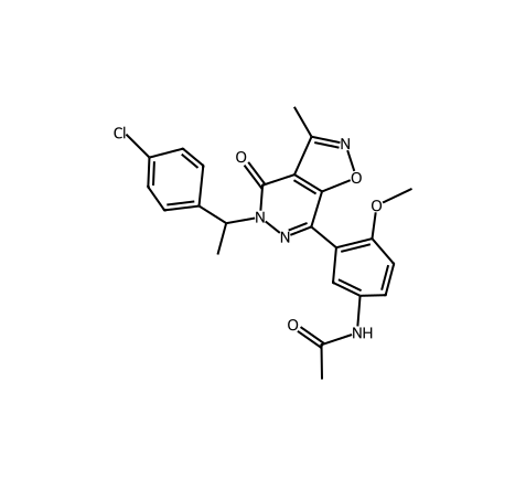 COc1ccc(NC(C)=O)cc1-c1nn(C(C)c2ccc(Cl)cc2)c(=O)c2c(C)noc12